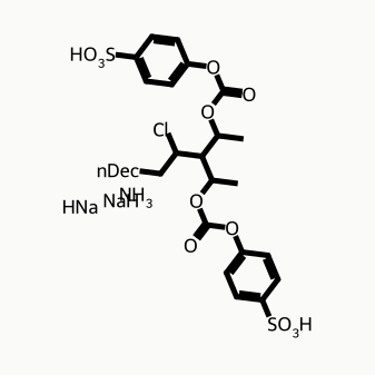 CCCCCCCCCCCC(Cl)C(C(C)OC(=O)Oc1ccc(S(=O)(=O)O)cc1)C(C)OC(=O)Oc1ccc(S(=O)(=O)O)cc1.N.[NaH].[NaH]